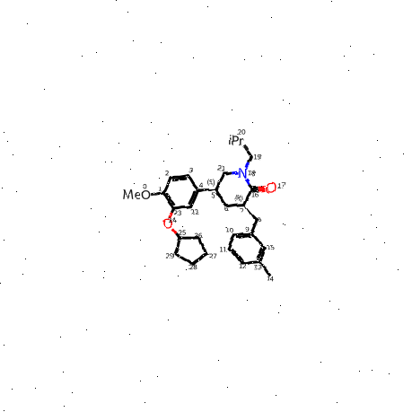 COc1ccc([C@@H]2C[C@H](Cc3cccc(C)c3)C(=O)N(CC(C)C)C2)cc1OC1CCCC1